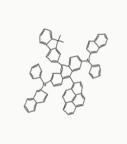 CC1(C)c2ccccc2-c2ccc(-c3c4cc(N(c5ccccc5)c5ccc6ccccc6c5)ccc4c(-c4ccc5ccc6cccc7ccc4c5c67)c4cc(N(c5ccccc5)c5ccc6ccccc6c5)ccc34)cc21